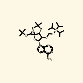 CC(C)[Si](OCO[C@H]1[C@H](n2cnc3c(N)ncnc32)O[C@@]2([SiH2]C2OC(C)(C)C)[C@H]1OC(C)(C)C)(C(C)C)C(C)C